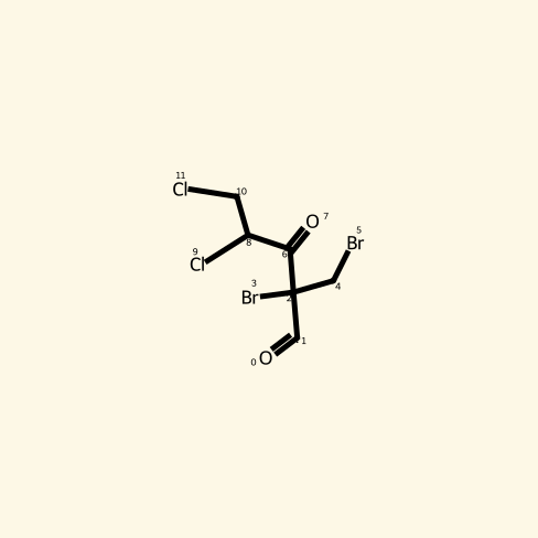 O=[C]C(Br)(CBr)C(=O)C(Cl)CCl